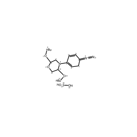 CCCCOC1CN(C2=CCC(=[N+]=[N-])C=C2)C(OCCCC)CO1.O=S(=O)(O)O